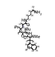 CN[C@H](C(=O)N[C@H](C(=O)N(C)[C@H](/C=C(\C)C(=O)NCCCC[C@H](C)N)C(C)C)C(C)(C)C)C(C)(C)c1cn(C)c2ccccc12